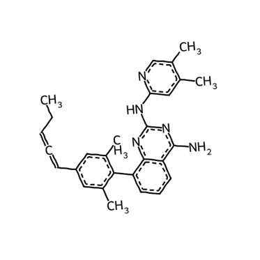 CCC=C=Cc1cc(C)c(-c2cccc3c(N)nc(Nc4cc(C)c(C)cn4)nc23)c(C)c1